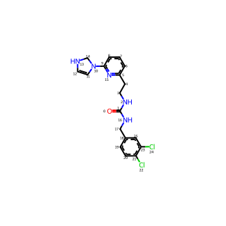 O=C(NCCc1cccc(N2C=CNC2)n1)NCc1ccc(Cl)c(Cl)c1